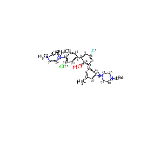 Cc1cc(-c2cc(F)cc(-c3ccc(N(C=O)/C=C\N(C)C)c(Cl)c3)c2O)cc(N2CCN(C(C)(C)C)CC2)c1